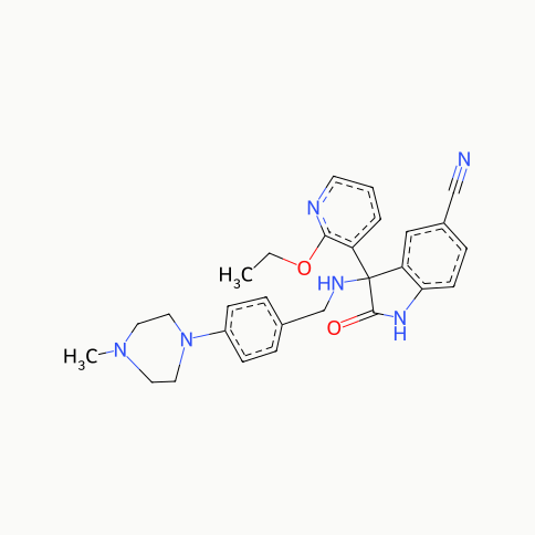 CCOc1ncccc1C1(NCc2ccc(N3CCN(C)CC3)cc2)C(=O)Nc2ccc(C#N)cc21